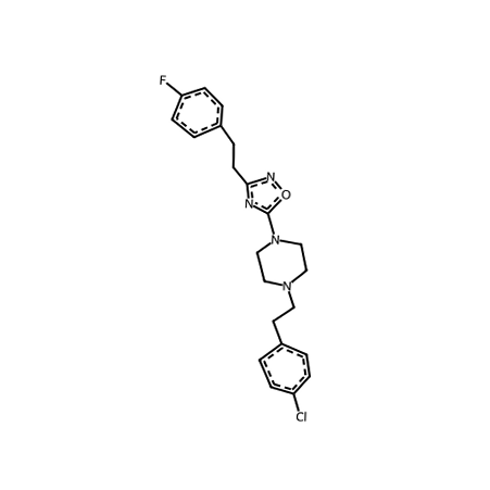 Fc1ccc(CCc2noc(N3CCN(CCc4ccc(Cl)cc4)CC3)n2)cc1